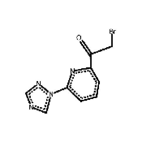 O=C(CBr)c1cccc(-n2cncn2)n1